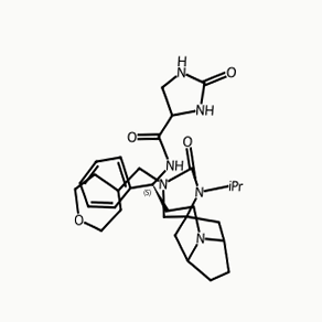 CC(C)N1C(=O)N(CC2CCOCC2)CC12CC1CCC(C2)N1CC[C@H](NC(=O)C1CNC(=O)N1)c1ccccc1